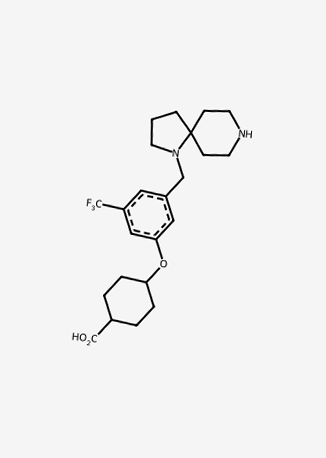 O=C(O)C1CCC(Oc2cc(CN3CCCC34CCNCC4)cc(C(F)(F)F)c2)CC1